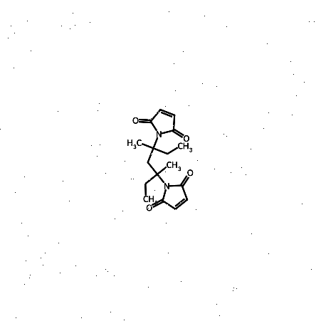 CCC(C)(CC(C)(CC)N1C(=O)C=CC1=O)N1C(=O)C=CC1=O